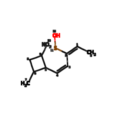 C/C=C(\C=C/C1C(C)CC1[N+](=O)[O-])SO